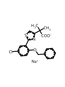 CC(C)(C(=O)[O-])c1csc(-c2cc(Cl)ccc2OCc2ccccc2)n1.[Na+]